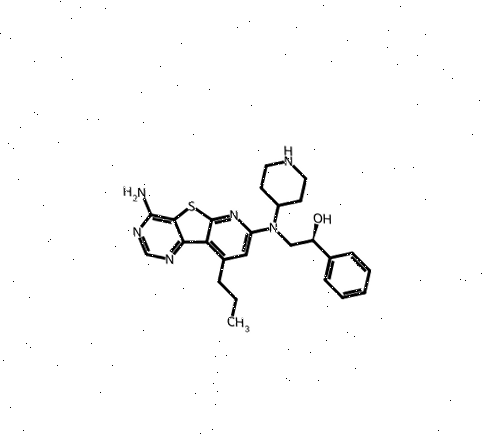 CCCc1cc(N(C[C@@H](O)c2ccccc2)C2CCNCC2)nc2sc3c(N)ncnc3c12